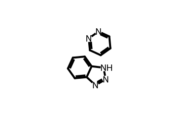 c1ccc2[nH]nnc2c1.c1ccnnc1